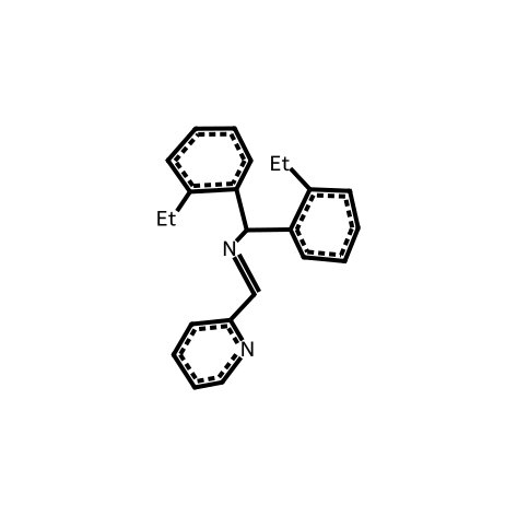 CCc1ccccc1C(/N=C/c1ccccn1)c1ccccc1CC